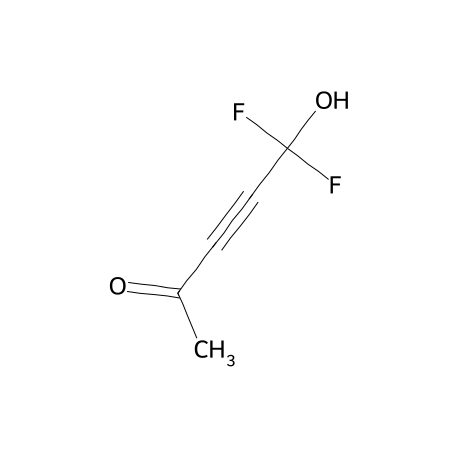 CC(=O)C#CC(O)(F)F